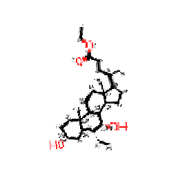 CCOC(=O)CC[C@@H](C)[C@H]1CCC2C3C(CC[C@@]21C)[C@@]1(C)CC[C@@H](O)CC1[C@@H](CC)[C@H]3O